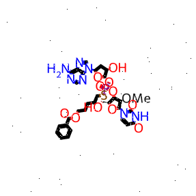 CO[C@H]1C(OP(=O)(O[C@H]2O[C@@H](n3cnc4c(N)ncnc43)C[C@H]2O)SCCCCCOC(=O)c2ccccc2)[C@@H](CO)O[C@H]1n1ccc(=O)[nH]c1=O